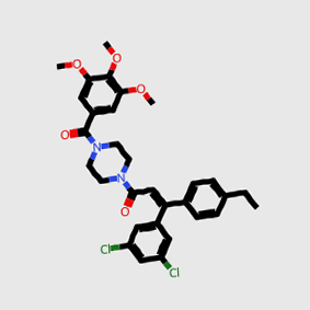 CCc1ccc(C(=CC(=O)N2CCN(C(=O)c3cc(OC)c(OC)c(OC)c3)CC2)c2cc(Cl)cc(Cl)c2)cc1